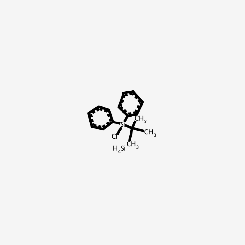 CC(C)(C)[Si](Cl)(c1ccccc1)c1ccccc1.[SiH4]